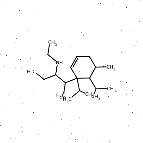 CCNC(CC)C(C)C1(C(C)C)C=CCC(C)C1C(C)C